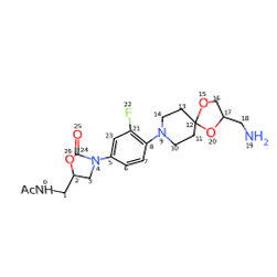 CC(=O)NCC1CN(c2ccc(N3CCC4(CC3)OCC(CN)O4)c(F)c2)C(=O)O1